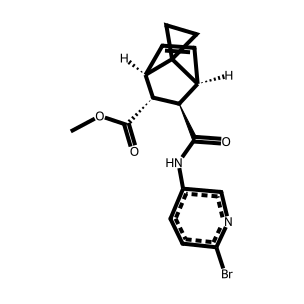 COC(=O)[C@H]1[C@H](C(=O)Nc2ccc(Br)nc2)[C@@H]2C=C[C@H]1C21CC1